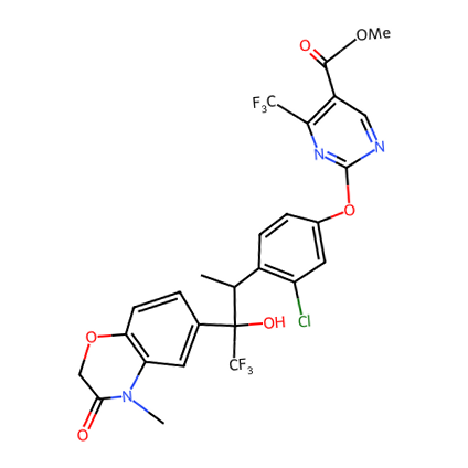 COC(=O)c1cnc(Oc2ccc(C(C)C(O)(c3ccc4c(c3)N(C)C(=O)CO4)C(F)(F)F)c(Cl)c2)nc1C(F)(F)F